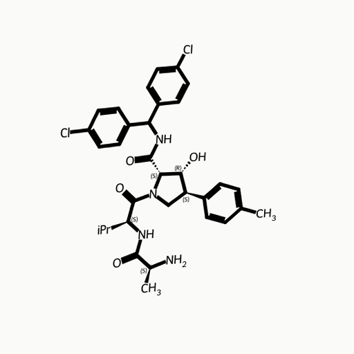 Cc1ccc([C@H]2CN(C(=O)[C@@H](NC(=O)[C@H](C)N)C(C)C)[C@H](C(=O)NC(c3ccc(Cl)cc3)c3ccc(Cl)cc3)[C@@H]2O)cc1